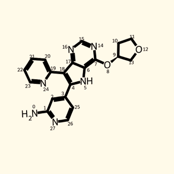 Nc1cc(-c2[nH]c3c(O[C@H]4CCOC4)ncnc3c2-c2ccccn2)ccn1